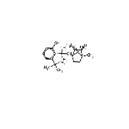 C=C1C(=O)C2(C)CCC1C2(C)C.CC(C)(C)c1cccc(O)c1C(C)(C)C